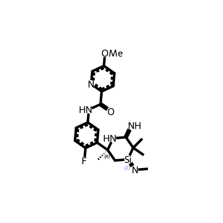 C/N=[Si]1/C[C@@](C)(c2cc(NC(=O)c3ccc(OC)cn3)ccc2F)NC(=N)C1(C)C